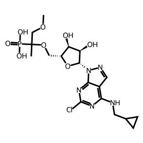 COCC(C)(OC[C@H]1O[C@@H](n2ncc3c(NCC4CC4)nc(Cl)nc32)[C@H](O)[C@@H]1O)P(=O)(O)O